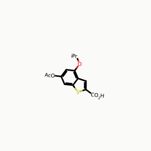 CC(=O)Oc1cc(OC(C)C)c2cc(C(=O)O)sc2c1